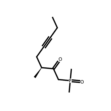 CCC#CC[C@H](C)C(=O)CP(C)(C)=O